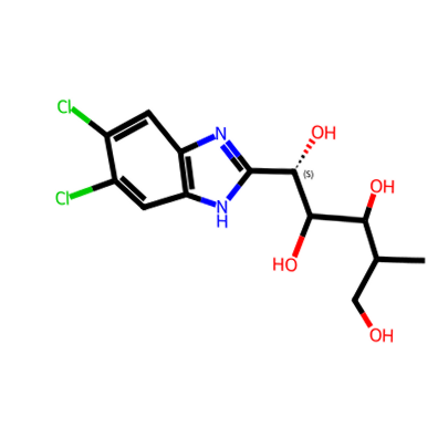 CC(CO)C(O)C(O)[C@@H](O)c1nc2cc(Cl)c(Cl)cc2[nH]1